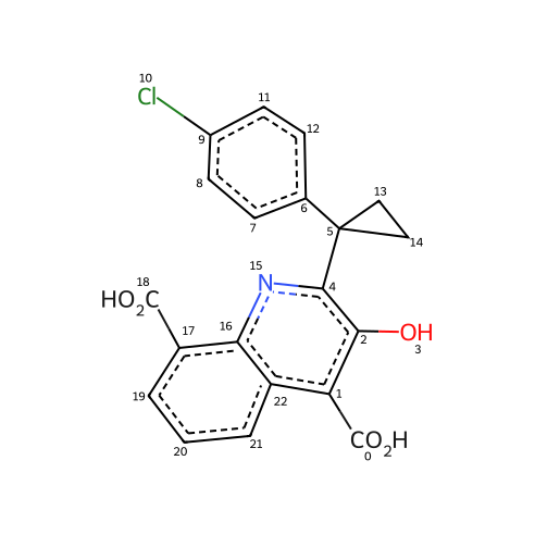 O=C(O)c1c(O)c(C2(c3ccc(Cl)cc3)CC2)nc2c(C(=O)O)cccc12